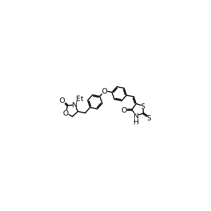 CCN1C(=O)OCC1Cc1ccc(Oc2ccc(C=C3SC(=S)NC3=O)cc2)cc1